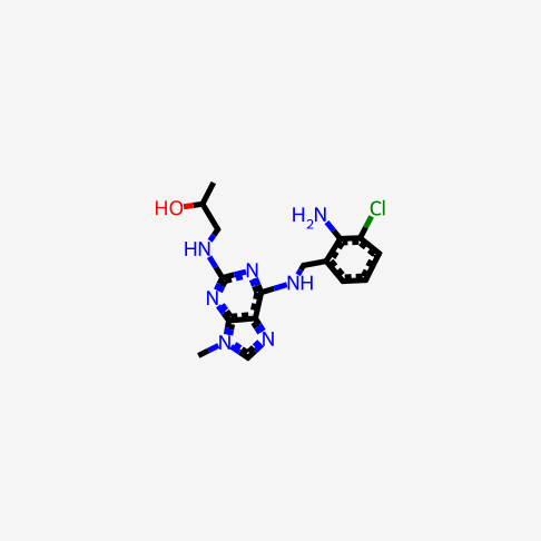 CC(O)CNc1nc(NCc2cccc(Cl)c2N)c2ncn(C)c2n1